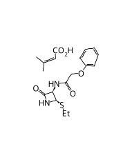 CC(C)=CC(=O)O.CCS[C@H]1NC(=O)[C@H]1NC(=O)COc1ccccc1